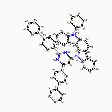 c1ccc(-c2ccc(-c3cc(-n4c5ccccc5c5ccc6c(c7ccccc7n6-c6ccccc6)c54)nc(-c4ccc(-c5ccccc5)cc4)n3)cc2)cc1